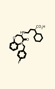 O=C(O)[C@@H](CCN[C@H]1COc2ccccc2N(Cc2ccc(F)cc2)C1=O)C1CCCCC1